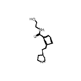 O=C(NCCO)c1cccc(CCC2CCNCC2)c1